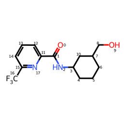 O=C(NC1CCCC(CO)C1)c1cccc(C(F)(F)F)n1